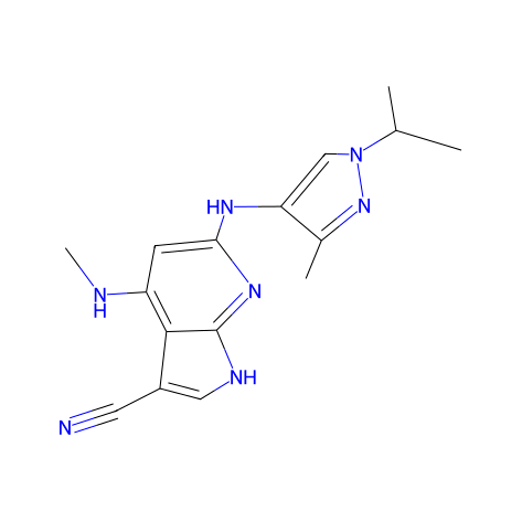 CNc1cc(Nc2cn(C(C)C)nc2C)nc2[nH]cc(C#N)c12